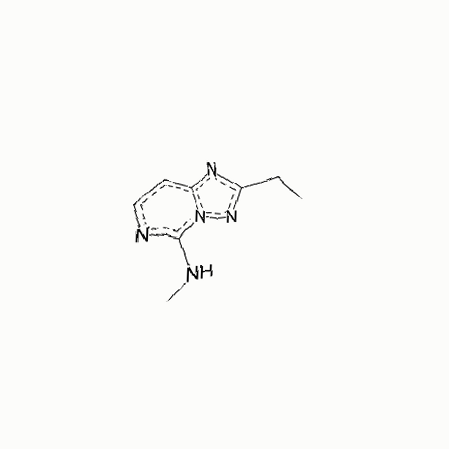 CCc1nc2ccnc(NC)n2n1